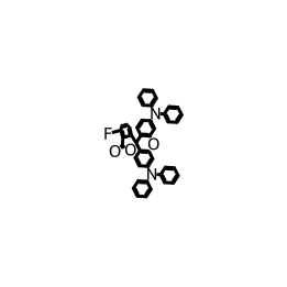 O=C1OC2(c3ccc(N(c4ccccc4)c4ccccc4)cc3Oc3cc(N(c4ccccc4)c4ccccc4)ccc32)c2cccc(F)c21